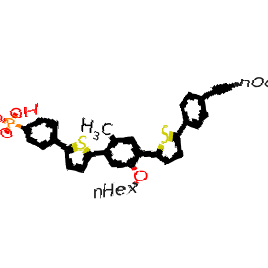 CCCCCCCCC#Cc1ccc(-c2ccc(-c3cc(C)c(-c4ccc(-c5ccc(P(=O)(O)O)cc5)s4)cc3OCCCCCC)s2)cc1